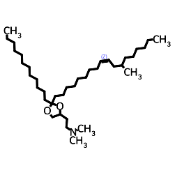 CCCCCCCCCCCCC1(CCCCCCCC/C=C\CC(C)CCCCCC)OCC(CCN(C)C)O1